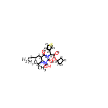 C=CCCC(CC(C)C)C(=O)N(C(=O)NO)C(C(=O)OC1CCCC1)c1ccsc1